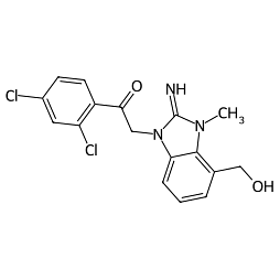 Cn1c(=N)n(CC(=O)c2ccc(Cl)cc2Cl)c2cccc(CO)c21